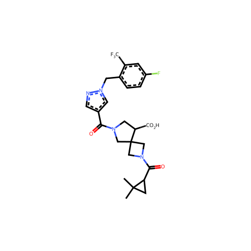 CC1(C)CC1C(=O)N1CC2(CN(C(=O)c3cnn(Cc4ccc(F)cc4C(F)(F)F)c3)CC2C(=O)O)C1